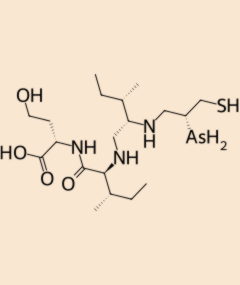 CC[C@H](C)[C@H](NC[C@@H](NC[C@@H]([AsH2])CS)[C@@H](C)CC)C(=O)N[C@@H](CCO)C(=O)O